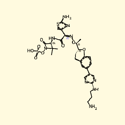 C[C@H](O/N=C(\C(=O)N[C@@H]1C(=O)N(OS(=O)(=O)O)C1(C)C)c1csc(N)n1)[C@H]1CCc2cc(-c3cnc(NCCCN)nc3)ccc2O1